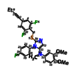 CCC#Cc1cc(F)c(CSc2ncc(N(C)c3ccc(OC)c(OC)c3)n2-c2ccc(F)cc2)c(F)c1